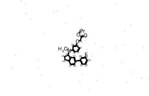 CC(C)OC(=O)COc1cccc(N(C)C2CCc3ccc(-c4cccc(F)c4)cc32)c1